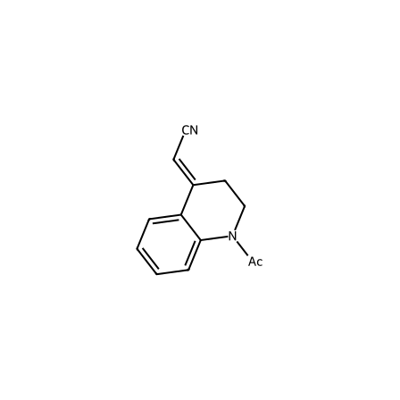 CC(=O)N1CCC(=CC#N)c2ccccc21